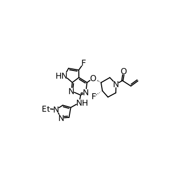 C=CC(=O)N1CC[C@H](F)[C@H](Oc2nc(Nc3cnn(CC)c3)nc3[nH]cc(F)c23)C1